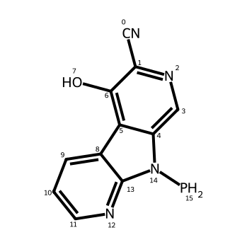 N#Cc1ncc2c(c1O)c1cccnc1n2P